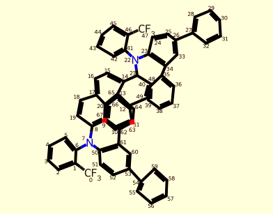 FC(F)(F)c1ccccc1N(C1=C2C=CC3=C4C(=CC=C(C=C1)C24)C(N(c1ccc(-c2ccccc2)cc1-c1ccccc1)c1ccccc1C(F)(F)F)C=C3)c1ccc(-c2ccccc2)cc1-c1ccccc1